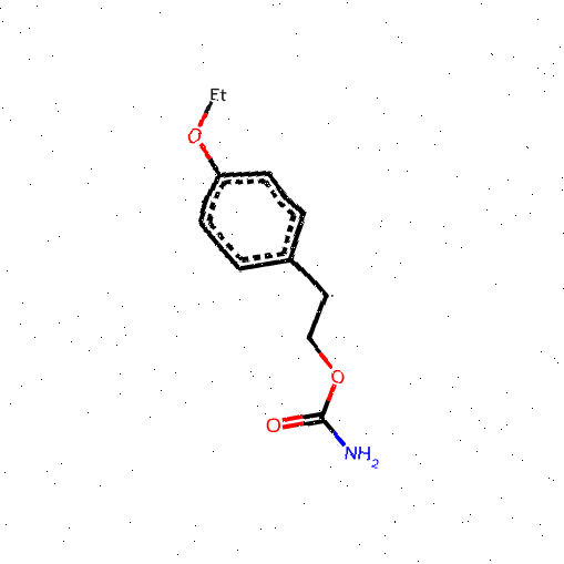 CCOc1ccc([CH]COC(N)=O)cc1